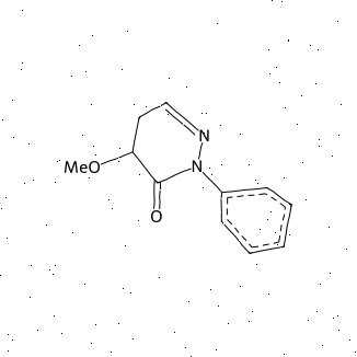 COC1CC=NN(c2ccccc2)C1=O